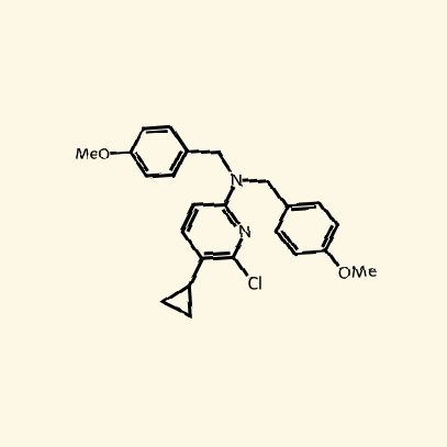 COc1ccc(CN(Cc2ccc(OC)cc2)c2ccc(C3CC3)c(Cl)n2)cc1